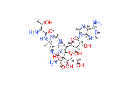 C[C@@H](O)[C@H](N)C(=O)NC1(C)N=CN=C2C1=NCN2[C@]1(C[C@H]2O[C@@H](n3cnc4c(N)ncnc43)[C@H](O)[C@@H]2O)O[C@H](CO)[C@@H](O)[C@]1(O)C(N)=O